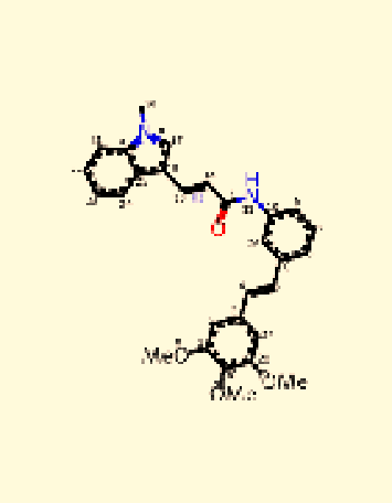 COc1cc(C=Cc2cccc(NC(=O)/C=C/c3cn(C)c4ccccc34)c2)cc(OC)c1OC